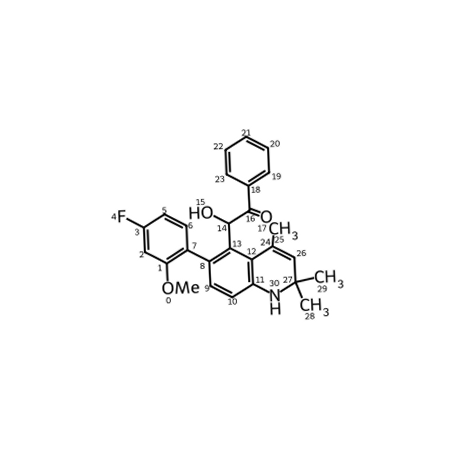 COc1cc(F)ccc1-c1ccc2c(c1C(O)C(=O)c1ccccc1)C(C)=CC(C)(C)N2